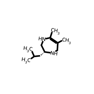 CC1=C(C)NC[C@@H](CC(C)C)NC1